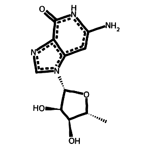 C[C@H]1O[C@@H](n2cnc3c(=O)[nH]c(N)cc32)[C@H](O)[C@@H]1O